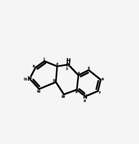 C1=CC2Nc3cccnc3CC2C=N1